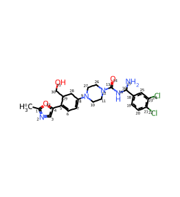 Cc1ncc(C2=CC=C(N3CCN(C(=O)NC(N)c4ccc(Cl)c(Cl)c4)CC3)CC2CO)o1